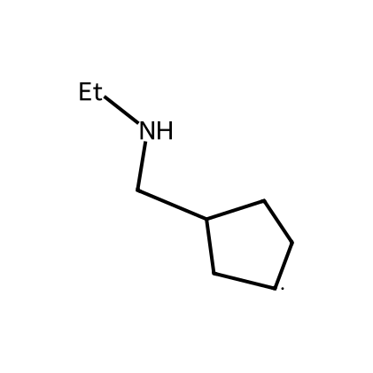 CCNCC1C[CH]CC1